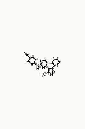 Cc1noc(-c2ccccc2)c1-c1ccnc(Nc2ccc(C#N)cc2)n1